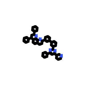 c1ccc(-c2cc(-c3cccnc3)nc(-c3cccc(-c4cccc(-c5ccc6ccc7c(-c8ccccc8)cc(-c8ccccc8)nc7c6n5)c4)c3)n2)cc1